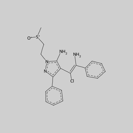 C[S+]([O-])CCn1nc(-c2ccccc2)c(/C(Cl)=C(\N)c2ccccc2)c1N